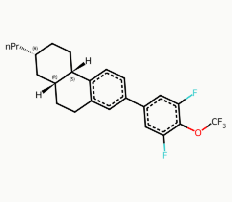 CCC[C@@H]1CC[C@@H]2c3ccc(-c4cc(F)c(OC(F)(F)F)c(F)c4)cc3CC[C@@H]2C1